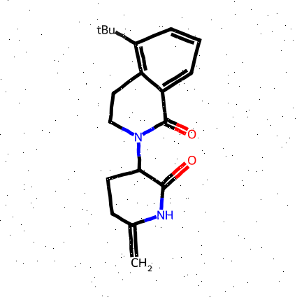 C=C1CCC(N2CCc3c(cccc3C(C)(C)C)C2=O)C(=O)N1